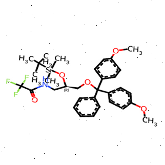 COc1ccc(C(OC[C@@H](CNC(=O)C(F)(F)F)O[Si](C)(C)C(C)(C)C)(c2ccccc2)c2ccc(OC)cc2)cc1